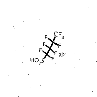 O=S(=O)(O)C(F)(F)C(F)(F)C(F)(F)C(F)(F)F.[Rb]